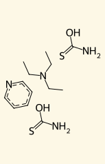 CCN(CC)CC.NC(O)=S.NC(O)=S.c1ccncc1